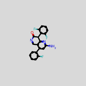 Nc1cc(-c2ccccc2F)c2c(n1)C(c1c(F)cccc1F)C(=O)N=C2